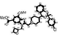 COC(=O)c1cc(OC)c2nc(CN3CCC(C4OC(C)(c5ccc(Cl)cn5)Oc5ccccc54)CC3)n(C[C@@H]3CCO3)c2c1